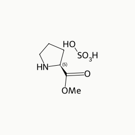 COC(=O)[C@@H]1CCCN1.O=S(=O)(O)O